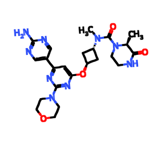 C[C@H]1C(=O)NCCN1C(=O)N(C)[C@H]1C[C@H](Oc2cc(-c3cnc(N)nc3)nc(N3CCOCC3)n2)C1